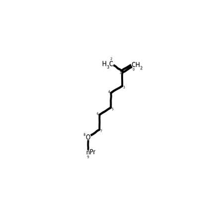 C=C(C)CCCCCOCCC